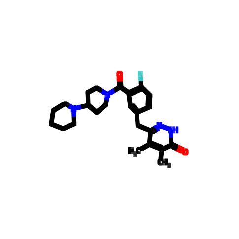 Cc1c(Cc2ccc(F)c(C(=O)N3CCC(N4CCCCC4)CC3)c2)n[nH]c(=O)c1C